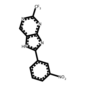 O=[N+]([O-])c1cccc(-c2nc3nc(C(F)(F)F)ncc3[nH]2)c1